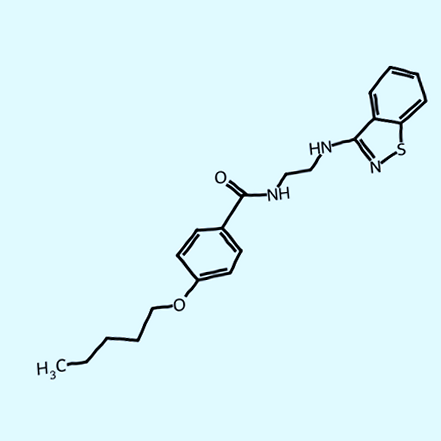 CCCCCOc1ccc(C(=O)NCCNc2nsc3ccccc23)cc1